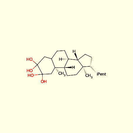 CCC[C@@H](C)[C@H]1CC[C@H]2[C@@H]3CCC4CC(O)(O)C(O)(O)C[C@]4(C)[C@H]3CC[C@]12C